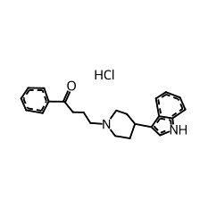 Cl.O=C(CCCN1CCC(c2c[nH]c3ccccc23)CC1)c1ccccc1